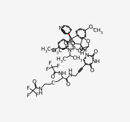 COc1ccc(C(CC23COC([C@H](n4cc(C#CCNC(=O)C(CCCCNC(=O)C(F)(F)F)NC(=O)C(F)(F)F)c(=O)[nH]c4=O)O2)[C@H]3OP(OCCC#N)N(C(C)C)C(C)C)(c2ccccc2)c2ccc(OC)cc2)cc1